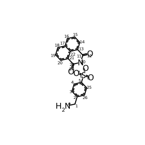 NCc1ccc(S(=O)(=O)ON2C(=O)c3cccc4cccc(c34)C2=O)cc1